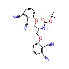 CC(C)(C)OC(=O)NC(COc1cccc(C#N)c1C#N)COc1cccc(C#N)c1C#N